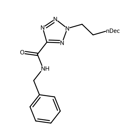 CCCCCCCCCCCCn1nnc(C(=O)NCc2ccccc2)n1